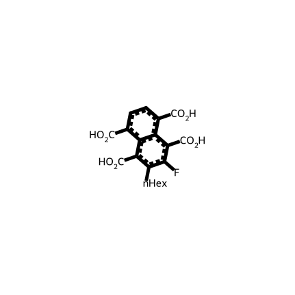 CCCCCCc1c(F)c(C(=O)O)c2c(C(=O)O)ccc(C(=O)O)c2c1C(=O)O